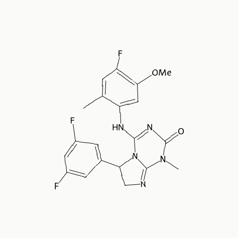 COc1cc(NC2=NC(=O)N(C)C3=NCC(c4cc(F)cc(F)c4)N23)c(C)cc1F